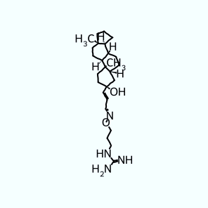 C[C@@]12CCC[C@H]1[C@@H]1CC[C@@H]3C[C@](O)(/C=C/C=N/OCCCNC(=N)N)CC[C@]3(C)[C@H]1CC2